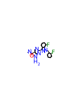 CN(C)C(=O)c1cnc(-c2nn(Cc3ccccc3F)c3c(F)cccc23)nc1N